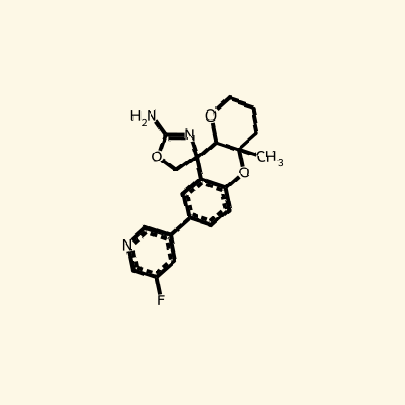 CC12CCCOC1C1(COC(N)=N1)c1cc(-c3cncc(F)c3)ccc1O2